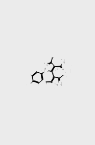 Cc1nn(-c2ccc(O)cc2)c(-c2c(C)noc2C)c1C(=N)N